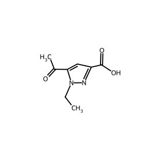 CCn1nc(C(=O)O)cc1C(C)=O